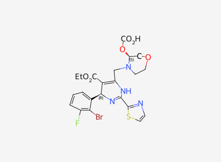 CCOC(=O)C1=C(CN2CCOC[C@@H]2OC(=O)O)NC(c2nccs2)=N[C@H]1c1cccc(F)c1Br